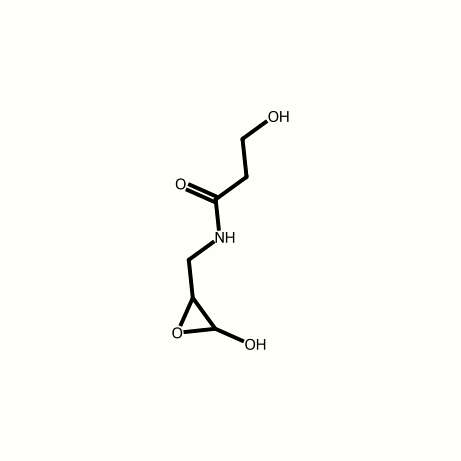 O=C(CCO)NCC1OC1O